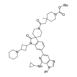 CC(C)n1cnc2cc(-c3ccc4c(c3)N(C3CC(N5CCCCC5)C3)C(=O)C43CCN(C(=O)CC4(C)CCN(C(=O)OC(C)(C)C)CC4)CC3)nc(NC3CC3)c21